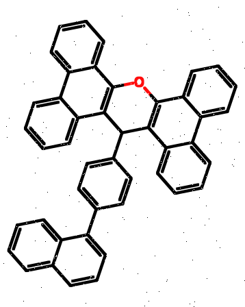 c1ccc2c(-c3ccc(C4c5c(c6ccccc6c6ccccc56)Oc5c4c4ccccc4c4ccccc54)cc3)cccc2c1